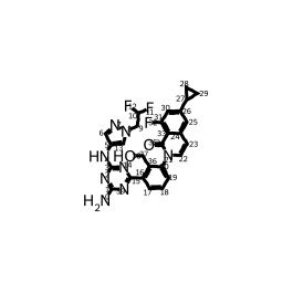 Nc1nc(Nc2cnn(CC(F)F)c2)nc(-c2cccc(-n3ccc4cc(C5CC5)cc(F)c4c3=O)c2CO)n1